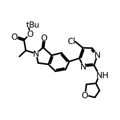 CC(C(=O)OC(C)(C)C)N1Cc2ccc(-c3nc(NC4CCOC4)ncc3Cl)cc2C1=O